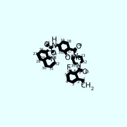 C=Cc1cccc(F)c1C(=O)N1CCN(C(=O)c2ccc(NS(=O)(=O)c3cccc4cccnc34)cc2OC)CC1